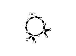 O=P1([O-])OOOOOOP(=O)([O-])O1.[Ca+2]